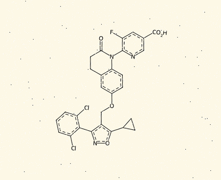 O=C(O)c1cnc(N2C(=O)CCc3cc(OCc4c(-c5c(Cl)cccc5Cl)noc4C4CC4)ccc32)c(F)c1